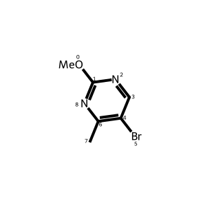 COc1ncc(Br)c(C)n1